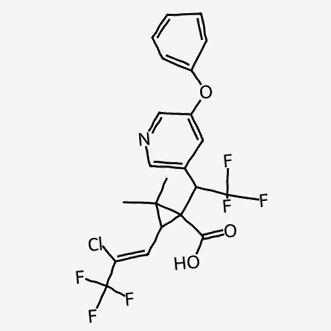 CC1(C)C(C=C(Cl)C(F)(F)F)C1(C(=O)O)C(c1cncc(Oc2ccccc2)c1)C(F)(F)F